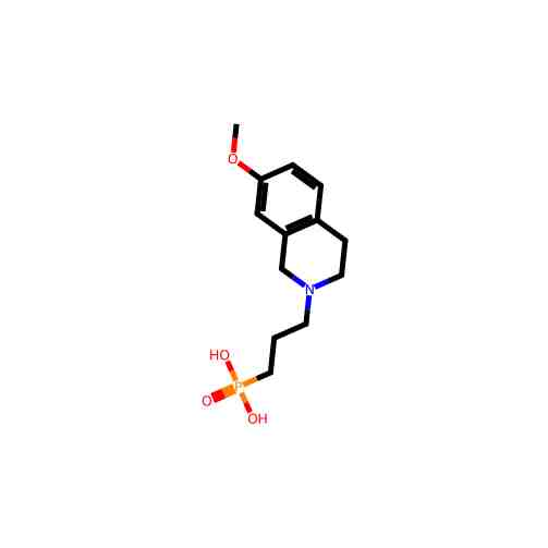 COc1ccc2c(c1)CN(CCCP(=O)(O)O)CC2